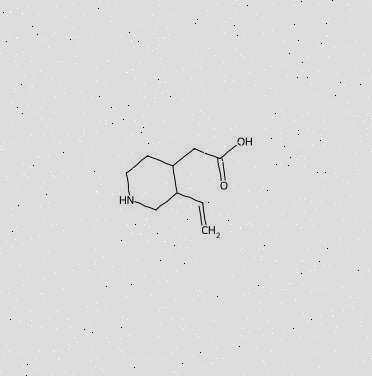 C=CC1CNCCC1CC(=O)O